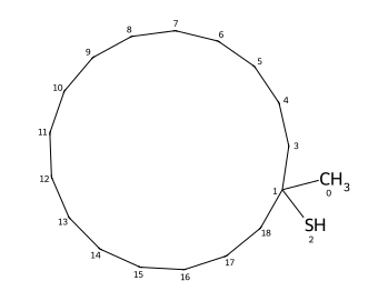 CC1(S)CCCCCCCCCCCCCCCC1